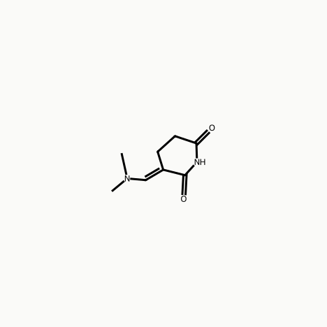 CN(C)C=C1CCC(=O)NC1=O